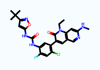 CCn1c(=O)c(-c2cc(NC(=O)Nc3cc(C(C)(C)C)no3)c(F)cc2Cl)cc2cnc(NC)cc21